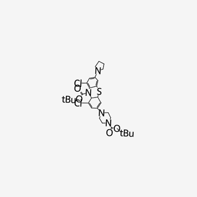 CC(C)(C)OC(=O)N1CCN(C2=CC3Sc4cc(N5CCCC5)cc(Cl)c4N(C(=O)OC(C)(C)C)C3C(Cl)=C2)CC1